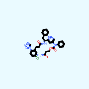 NC(=O)CCOC(=O)N(c1ccccc1)c1cnnc(C(Cc2ccccc2)NC(=O)/C=C/c2cc(Cl)ccc2-n2cnnn2)c1